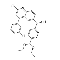 CCOC(OCC)c1ccc(C(O)c2ccc3nc(Cl)cc(-c4cccc(Cl)c4)c3c2)cc1